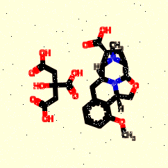 COc1cccc2c1[C@H]1CO[C@H]3C4C[C@H](C(=O)O)C([C@@H](C2)N13)N4C.O=C(O)CC(O)(CC(=O)O)C(=O)O